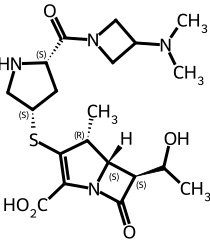 CC(O)[C@H]1C(=O)N2C(C(=O)O)=C(S[C@@H]3CN[C@H](C(=O)N4CC(N(C)C)C4)C3)[C@H](C)[C@H]12